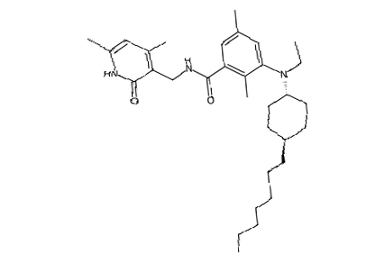 CCCCCCC[C@H]1CC[C@H](N(CC)c2cc(C)cc(C(=O)NCc3c(C)cc(C)[nH]c3=O)c2C)CC1